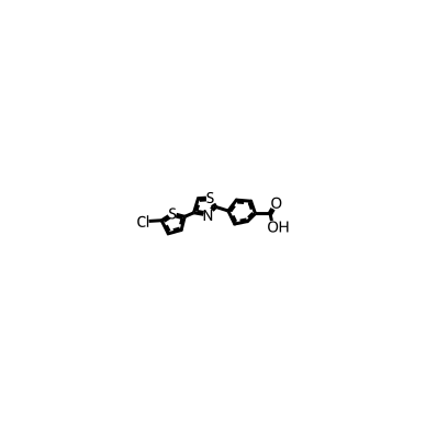 O=C(O)c1ccc(-c2nc(-c3ccc(Cl)s3)cs2)cc1